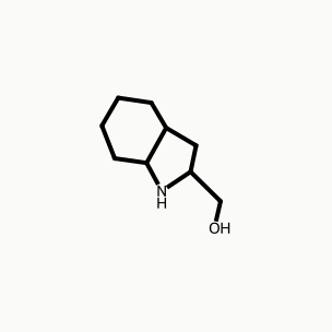 OCC1CC2CCCCC2N1